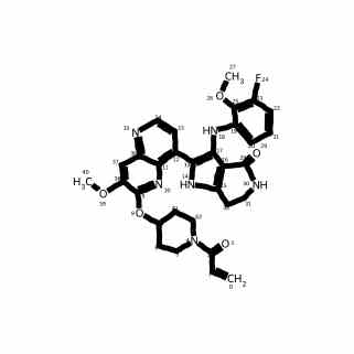 C=CC(=O)N1CCC(Oc2nc3c(-c4[nH]c5c(c4Nc4cccc(F)c4OC)C(=O)NCC5)ccnc3cc2OC)CC1